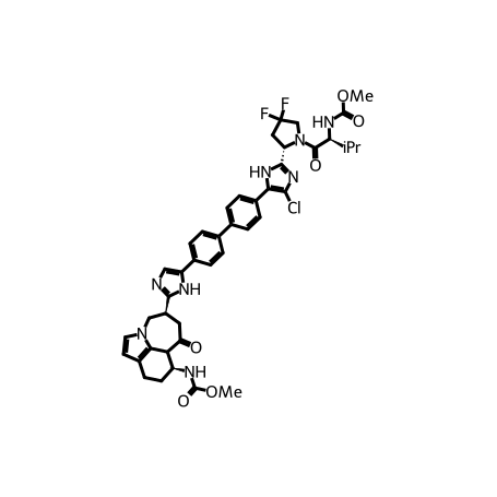 COC(=O)N[C@H]1CCc2ccn3c2C1C(=O)C[C@H](c1ncc(-c2ccc(-c4ccc(-c5[nH]c([C@@H]6CC(F)(F)CN6C(=O)[C@@H](NC(=O)OC)C(C)C)nc5Cl)cc4)cc2)[nH]1)C3